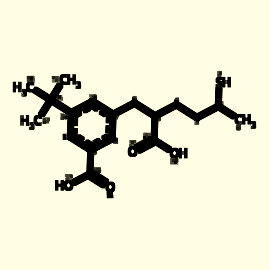 CC(S)CCC(Cc1cc(C(=O)O)cc(C(C)(C)C)c1)C(=O)O